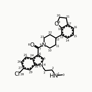 CNCCn1cc(C(=O)N2CCC(c3cccc4c3OCC4)CC2)c2ccc(Cl)cc21